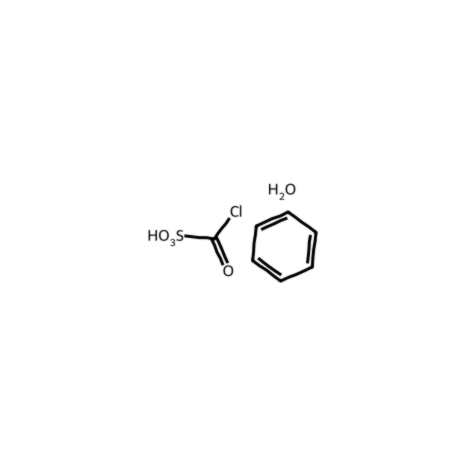 O.O=C(Cl)S(=O)(=O)O.c1ccccc1